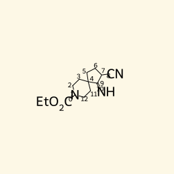 CCOC(=O)N1CCC2(CCC(C#N)C2=N)CC1